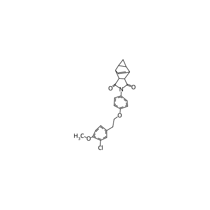 COc1ccc(CCOc2ccc(N3C(=O)C4C5C=CC(C6CC56)C4C3=O)cc2)cc1Cl